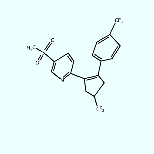 CS(=O)(=O)c1ccc(C2=C(c3ccc(C(F)(F)F)cc3)CC(C(F)(F)F)C2)nc1